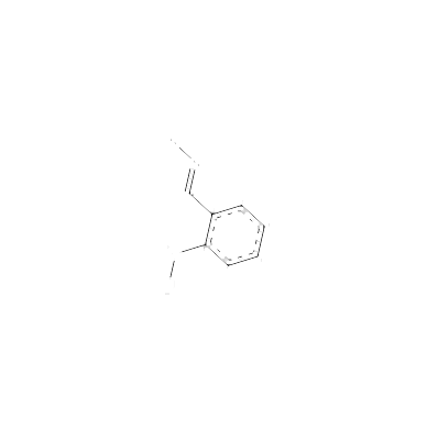 NN=Cc1ccccc1OC=O